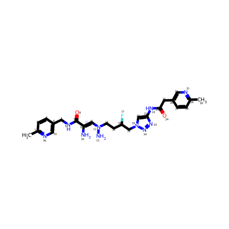 Cc1ccc(CNC(=O)/C(N)=C/N(N)CCC(F)Cn2cc(NC(=O)Cc3ccc(C)nc3)nn2)cn1